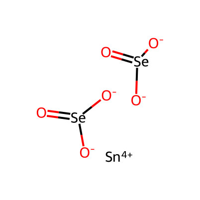 O=[Se]([O-])[O-].O=[Se]([O-])[O-].[Sn+4]